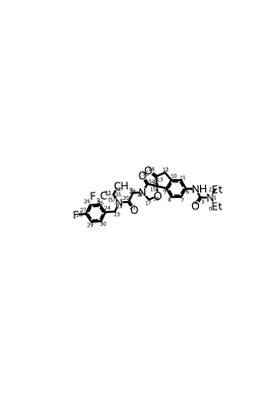 CCN(CC)C(=O)Nc1ccc2c(c1)CC(=O)[C@]21OCN(CC(=O)N(Cc2ccc(F)cc2)[C@@H](C)C(F)(F)F)C1=O